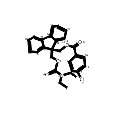 CCN(CC)C(=O)OCC1(COC(=O)c2ccc(Cl)cc2)c2ccccc2-c2ccccc21